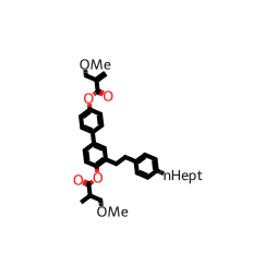 C=C(COC)C(=O)Oc1ccc(-c2ccc(OC(=O)C(C)COC)c(CCc3ccc(CCCCCCC)cc3)c2)cc1